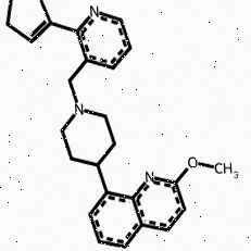 COc1ccc2cccc(C3CCN(Cc4cccnc4C4=CCCC4)CC3)c2n1